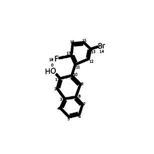 Oc1cc2ccccc2cc1-c1cc(Br)ccc1F